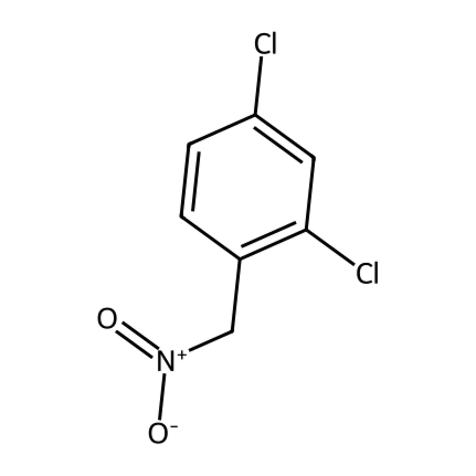 O=[N+]([O-])Cc1ccc(Cl)cc1Cl